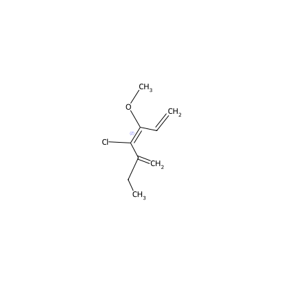 C=C/C(OC)=C(/Cl)C(=C)CC